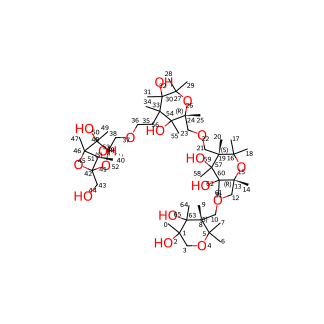 CC1(O)COC(C)(C)[C@@](C)(COC[C@@]2(C)OC(C)(C)[C@@](C)(COC[C@@]3(C)OC(C)(C)C(C)(O)C(C)(CCOC[C@@]4(C)OC5(CO)OC(C)(C4(C)O)[C@]5(C)O)C3(C)O)C(C)(O)C2(C)O)C1(C)O